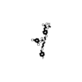 CCOC(Cc1ccc(OCCN(CCCCOCc2ccc(F)cc2)C(=O)Oc2ccc(Cl)cc2Cl)cc1)C(=O)O